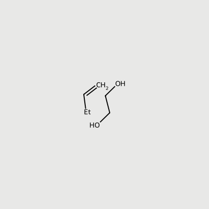 C=CCC.OCCO